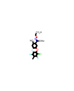 COC(=NOCC(=O)O)c1cc(Oc2c(F)c(F)c(C)c(F)c2Cl)ccc1[N+](=O)[O-]